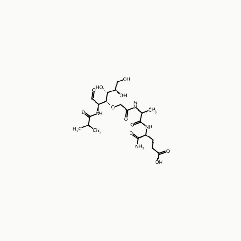 CC(C)C(=O)N[C@@H](C=O)[C@@H](OCC(=O)NC(C)C(=O)NC(CCC(=O)O)C(N)=O)[C@H](O)[C@H](O)CO